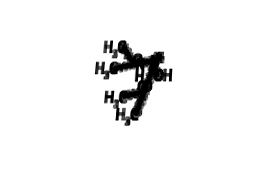 CCCCCCCCC(CCCCCCCC)CC(=O)NCCCCCN(CCN(CCO)CCCCCOC(=O)CC(CCCCCCCC)CCCCCCCC)C1CCC1